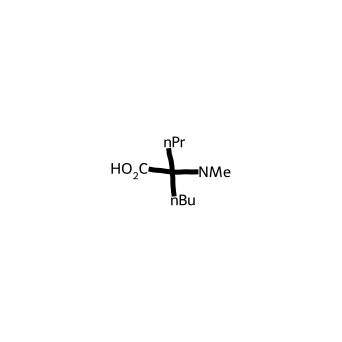 CCCCC(CCC)(NC)C(=O)O